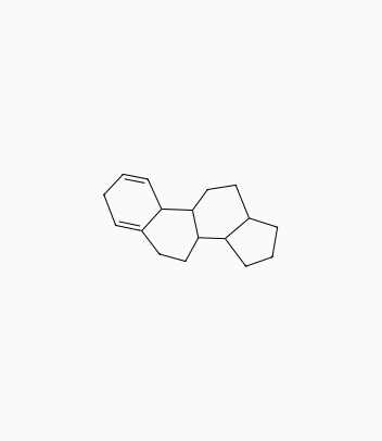 C1=CC2C(=CC1)CCC1C3CCCC3CCC21